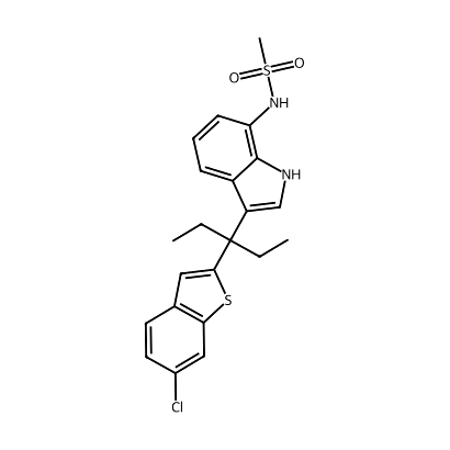 CCC(CC)(c1cc2ccc(Cl)cc2s1)c1c[nH]c2c(NS(C)(=O)=O)cccc12